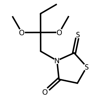 CCC(CN1C(=O)CSC1=S)(OC)OC